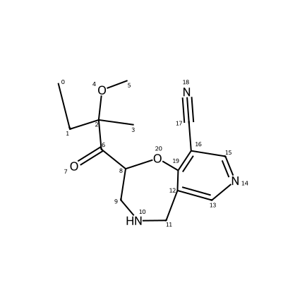 CCC(C)(OC)C(=O)C1CNCc2cncc(C#N)c2O1